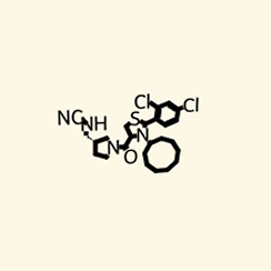 N#CNC[C@H]1CCN(C(=O)C2CSC(c3ccc(Cl)cc3Cl)N2C2CCCCCCCC2)C1